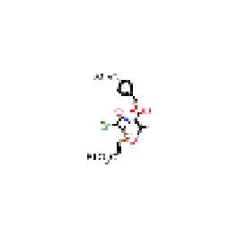 CCOC(=O)C=C[S+]([O-])C1C(Br)C(=O)N1C(C(=O)OCc1ccc(OC)cc1)=C(C)C